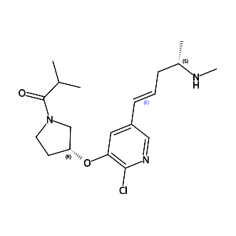 CN[C@@H](C)C/C=C/c1cnc(Cl)c(O[C@@H]2CCN(C(=O)C(C)C)C2)c1